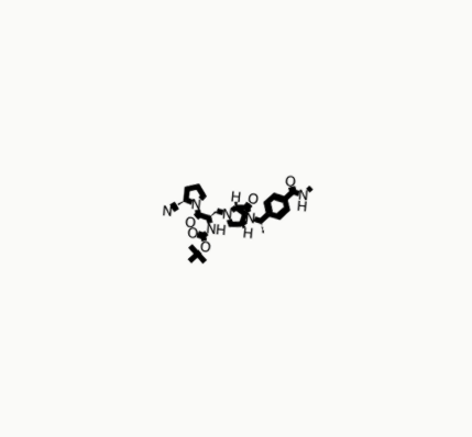 CNC(=O)c1ccc([C@H](C)N2C(=O)[C@@H]3C[C@H]2CN3C[C@H](NC(=O)OC(C)(C)C)C(=O)N2CCC[C@H]2C#N)cc1